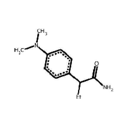 [CH2]CC(C(N)=O)c1ccc(N(C)C)cc1